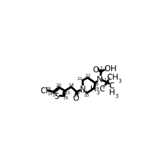 CC(C)(C)N(C(=O)O)C1CCN(C(=O)Cc2csc(Cl)c2)CC1